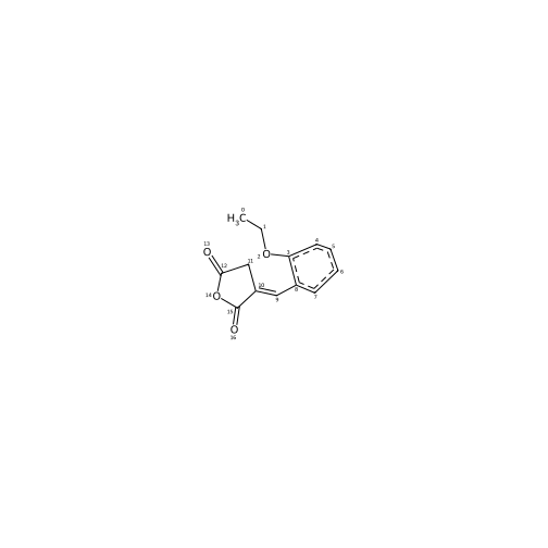 CCOc1ccccc1C=C1CC(=O)OC1=O